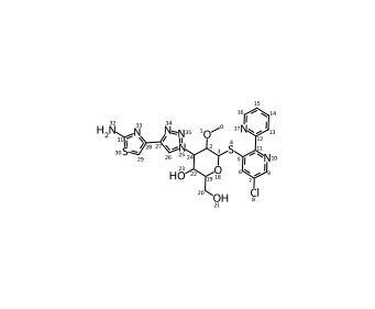 COC1C(Sc2cc(Cl)cnc2-c2ccccn2)OC(CO)C(O)C1n1cc(-c2csc(N)n2)nn1